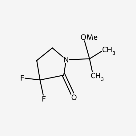 COC(C)(C)N1CCC(F)(F)C1=O